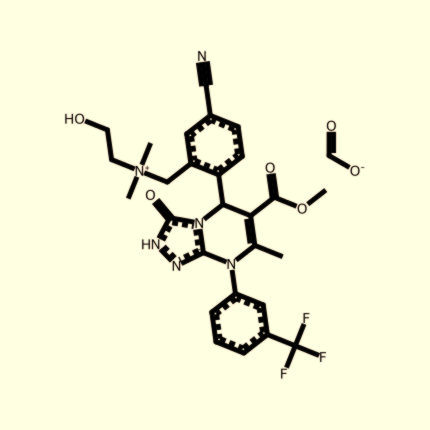 COC(=O)C1=C(C)N(c2cccc(C(F)(F)F)c2)c2n[nH]c(=O)n2C1c1ccc(C#N)cc1C[N+](C)(C)CCO.O=C[O-]